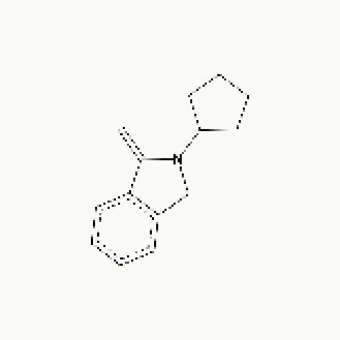 C=C1c2ccccc2CN1C1CCCC1